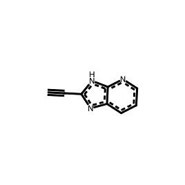 C#Cc1nc2cccnc2[nH]1